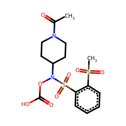 CC(=O)N1CCC(N(OC(=O)O)S(=O)(=O)c2ccccc2S(C)(=O)=O)CC1